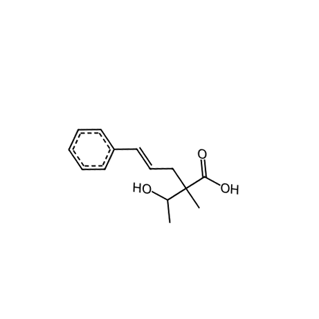 CC(O)C(C)(CC=Cc1ccccc1)C(=O)O